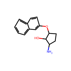 NC1CCC(Oc2ccc3ccccc3c2)C1O